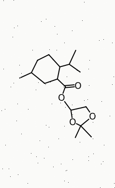 CC1CCC(C(C)C)C(C(=O)OC2COC(C)(C)O2)C1